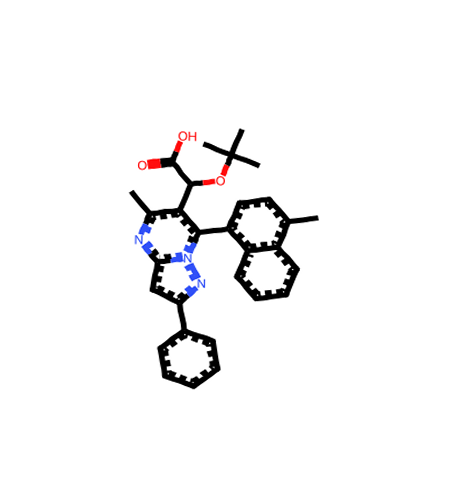 Cc1nc2cc(-c3ccccc3)nn2c(-c2ccc(C)c3ccccc23)c1C(OC(C)(C)C)C(=O)O